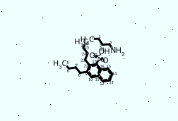 CCCCN.CCCCc1cc2ccccc2c(S(=O)(=O)O)c1CCCC